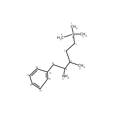 C[C](CC[Si](C)(C)C)C(N)Cc1ccccc1